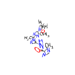 Cc1nc([C@@H](C)n2cc(NC(=O)c3nccnc3C)cn2)ncc1N1C[C@H]2C[C@H]2C1=O